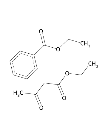 CCOC(=O)CC(C)=O.CCOC(=O)c1ccccc1